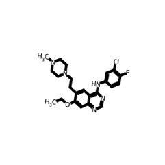 CCOc1cc2ncnc(Nc3ccc(F)c(Cl)c3)c2cc1CCN1CCN(C)CC1